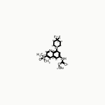 CC(C)(C)OC(=O)Nc1cc(N2CCC(F)(F)CC2)c2ncc(P(C)(C)=O)cc2c1